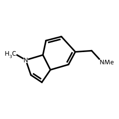 CNCC1=CC2C=CN(C)C2C=C1